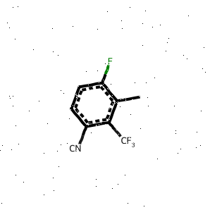 [C-]#[N+]c1ccc(F)c(C)c1C(F)(F)F